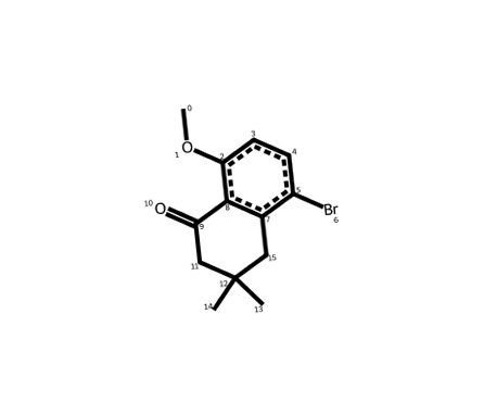 COc1ccc(Br)c2c1C(=O)CC(C)(C)C2